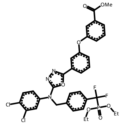 CCOP(=O)(OCC)C(F)(F)c1ccc(CN(c2ccc(Cl)c(Cl)c2)c2nnc(-c3cccc(Oc4cccc(C(=O)OC)c4)c3)o2)cc1